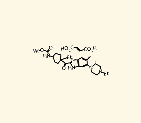 CCN1CCN(c2cc3[nH]c(C(=O)C4(CC)CCC(NC(=O)OC)CC4)nc3cc2C)[C@H](C)C1.O=C(O)/C=C/C(=O)O